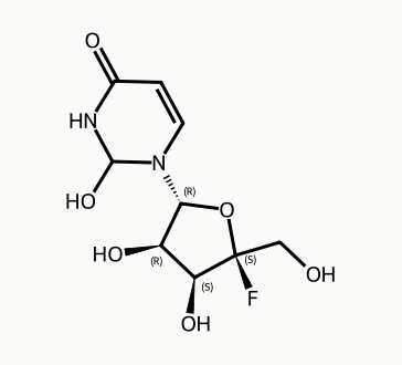 O=C1C=CN([C@@H]2O[C@](F)(CO)[C@@H](O)[C@H]2O)C(O)N1